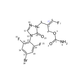 NC(=O)OC/C(=C\F)Cn1ncn(-c2c(F)cc(Br)cc2F)c1=O